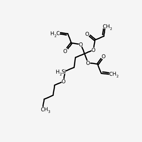 C=CC(=O)OC(CC[SiH2]OCCCC)(OC(=O)C=C)OC(=O)C=C